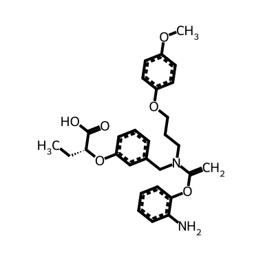 C=C(Oc1ccccc1N)N(CCCOc1ccc(OC)cc1)Cc1cccc(O[C@H](CC)C(=O)O)c1